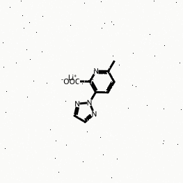 Cc1ccc(-n2nccn2)c(C(=O)[O-])n1.[Li+]